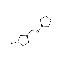 FC1CCN(CON2CCCC2)C1